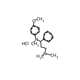 COc1ccc(N(C)C(CCN(C)C)c2ccccc2)cc1.Cl